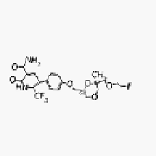 C[C@]1(COCCF)COC[C@@H](COc2ccc(-c3cc(C(N)=O)c(=O)[nH]c3C(F)(F)F)cc2)O1